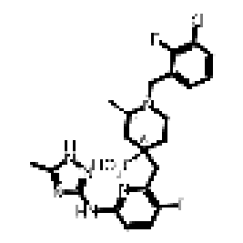 Cc1nc(Nc2ccc(F)c(C[C@@]3(C(=O)O)CCN(Cc4cccc(Cl)c4F)[C@H](C)C3)n2)n[nH]1